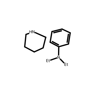 C1CCNCC1.CCN(CC)c1ccccc1